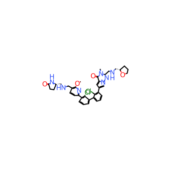 COc1nc(-c2cccc(-c3cccc(-c4cc5c(=O)n(C)c(CNC[C@@H]6CCCO6)nn5c4)c3Cl)c2Cl)ccc1CNC[C@@H]1CCC(=O)N1